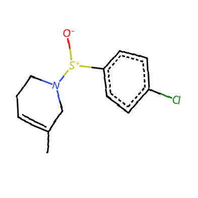 CC1=CCCN([S+]([O-])c2ccc(Cl)cc2)C1